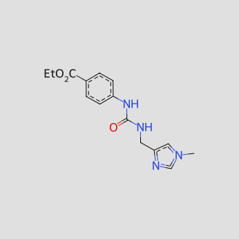 CCOC(=O)c1ccc(NC(=O)NCc2cn(C)cn2)cc1